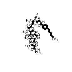 CCCCCCc1ccc(C(=O)N[C@H](CO)C(=O)N[C@H](C)C(=O)NCC(=O)N(C)C(C(=O)N[C@@H](C)C(=O)N[C@@H](CC(C)C)C(=O)NC(C)C(=O)C(=O)NC)C(C)O)cc1